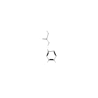 CCC(O)CNc1ccc(O)c(O)c1